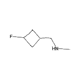 CNCC1CC(F)C1